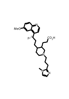 COc1ccc2nccc([C@@H](F)CCC3CCN(CCCc4nccn4C)CC3CCC(=O)O)c2c1